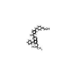 CC(O)Cc1cc2cnc(Nc3ccc(CN4CCN(CCO)CC4)cn3)nc2c(N2CCCCC2)n1